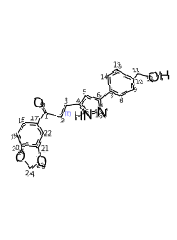 O=C(/C=C/c1cc(-c2ccc(CO)cc2)n[nH]1)c1ccc2c(c1)OCO2